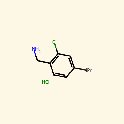 CC(C)c1ccc(CN)c(Cl)c1.Cl